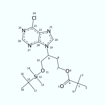 CC(C)(C)C(=O)OCCC(CO[Si](C)(C)C(C)(C)C)n1cnc2c(Cl)ncnc21